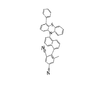 Cc1cc(C#N)cc(C#N)c1-c1cccc2c(N3c4ccccc4Sc4c(-c5ccccc5)cccc43)cccc12